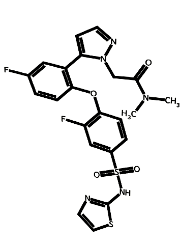 CN(C)C(=O)Cn1nccc1-c1cc(F)ccc1Oc1ccc(S(=O)(=O)Nc2nccs2)cc1F